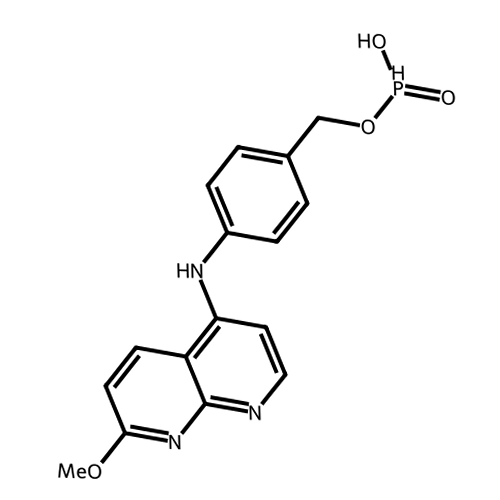 COc1ccc2c(Nc3ccc(CO[PH](=O)O)cc3)ccnc2n1